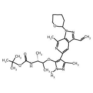 C=Cc1nn(C2CCCCO2)c2c(C)nc(-c3c(C)nn(C)c3OC(C)[C@@H](C)NC(=O)OC(C)(C)C)cc12